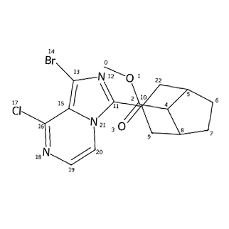 COC(=O)C1C2CCC1CC(c1nc(Br)c3c(Cl)nccn13)C2